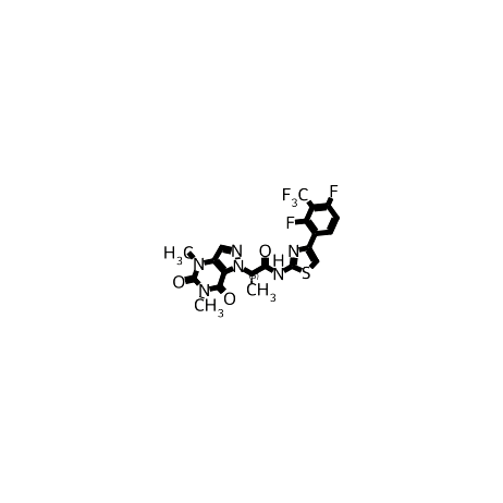 C[C@@H](C(=O)Nc1nc(-c2ccc(F)c(C(F)(F)F)c2F)cs1)n1ncc2c1c(=O)n(C)c(=O)n2C